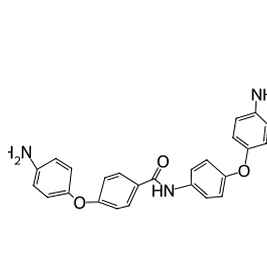 Nc1ccc(Oc2ccc(NC(=O)c3ccc(Oc4ccc(N)cc4)cc3)cc2)cc1